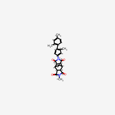 Cc1ccc(-c2ccc(N3C(=O)C4C5C=CC(C6C(=O)N(C)C(=O)C56)C4C3=O)cc2C)c(C)c1